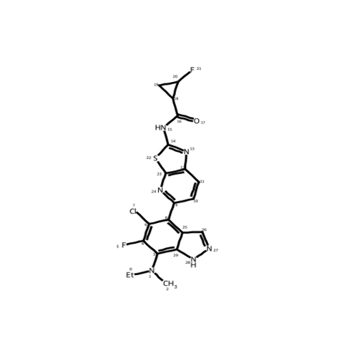 CCN(C)c1c(F)c(Cl)c(-c2ccc3nc(NC(=O)C4CC4F)sc3n2)c2cn[nH]c12